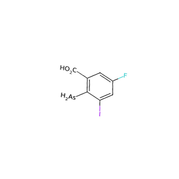 O=C(O)c1cc(F)cc(I)c1[AsH2]